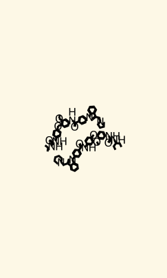 CCC(CC)NC(=O)Nc1ccc(Oc2ccc(NC(=O)c3ccc(-n4cc(CN5CCCCC5)c5ccccc54)cc3)cc2OC)cc1.COc1cc(NC(=O)c2ccc(-n3cc(CN4CCCC4)c4ccccc43)cc2)ccc1Oc1ccc(NC(=O)NC(C)C)cc1